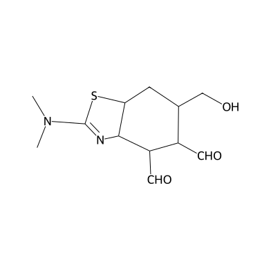 CN(C)C1=NC2C(CC(CO)C(C=O)C2C=O)S1